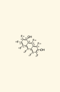 Oc1c(F)c(F)c2c(F)c3c(F)c(F)c(F)c(O)c3c(F)c2c1F